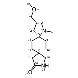 COCCC[C@]1(N(C)C)CC[C@]2(CC1)CNC(=O)C2